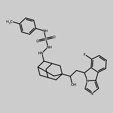 Cc1ccc(NS(=O)(=O)NNC2C3CC4CC2CC(C(O)CC2c5c(F)cccc5-c5cncn52)(C4)C3)cc1